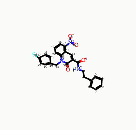 O=C(NCCc1ccccc1)c1cc2c([N+](=O)[O-])cccc2n(Cc2ccc(F)cc2)c1=O